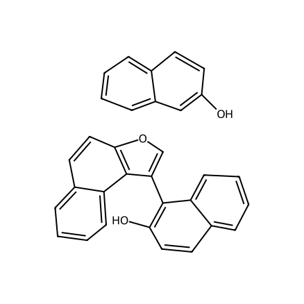 Oc1ccc2ccccc2c1.Oc1ccc2ccccc2c1-c1coc2ccc3ccccc3c12